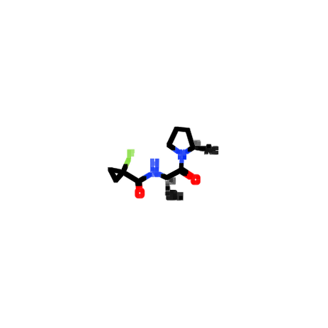 CC(=O)[C@@H]1CCCN1C(=O)[C@@H](NC(=O)C1(F)CC1)C(C)(C)C